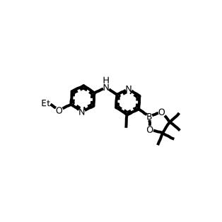 CCOc1ccc(Nc2cc(C)c(B3OC(C)(C)C(C)(C)O3)cn2)cn1